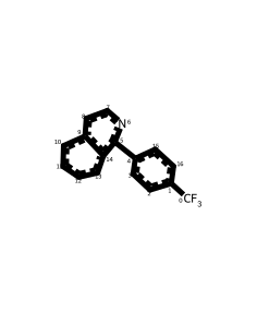 FC(F)(F)c1ccc(-c2nccc3ccccc23)cc1